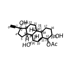 C#C[C@]1(O)CC[C@H]2[C@@H]3[C@@H](O)C=C4[C@H](OC(C)=O)[C@@H](O)CC[C@]4(C)[C@H]3CC[C@@]21C